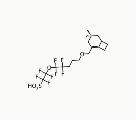 C[C@@H]1CC(COCCCC(F)(F)C(F)(F)OC(F)(F)C(F)(F)S(=O)(=O)O)=C2CCC2C1